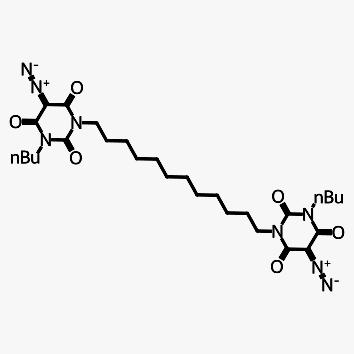 CCCCN1C(=O)C(=[N+]=[N-])C(=O)N(CCCCCCCCCCCCN2C(=O)C(=[N+]=[N-])C(=O)N(CCCC)C2=O)C1=O